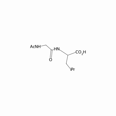 CC(=O)NCC(=O)NC(CC(C)C)C(=O)O